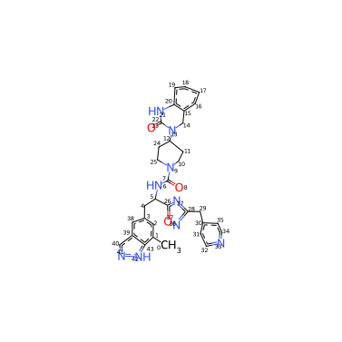 Cc1cc(CC(NC(=O)N2CCC(N3Cc4ccccc4NC3=O)CC2)c2nc(Cc3ccncc3)no2)cc2cn[nH]c12